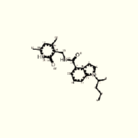 CCCC(C)n1ccc2c(C(=O)NCc3c(C)cc(C)[nH]c3=O)cccc21